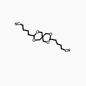 N#CCCCCC1OCC2(CO1)COC(CCCCC#N)OC2